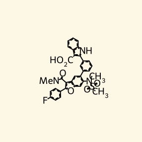 CNC(=O)c1c(-c2ccc(F)cc2)oc2cc(N(C)S(C)(=O)=O)c(-c3cccc(-c4[nH]c5ccccc5c4C(=O)O)c3)cc12